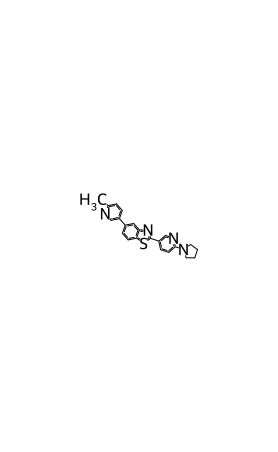 Cc1ccc(-c2ccc3sc(-c4ccc(N5CCCC5)nc4)nc3c2)cn1